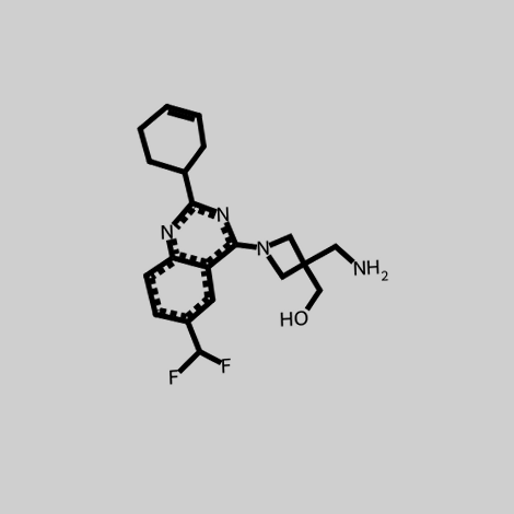 NCC1(CO)CN(c2nc(C3CC=CCC3)nc3ccc(C(F)F)cc23)C1